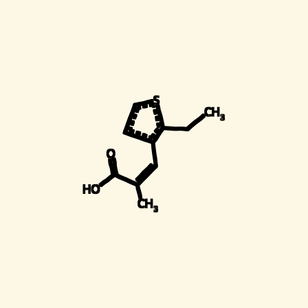 CCc1sccc1C=C(C)C(=O)O